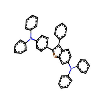 c1ccc(-c2c(-c3ccc(N(c4ccccc4)c4ccccc4)cc3)sc3cc(N(c4ccccc4)c4ccccc4)ccc23)cc1